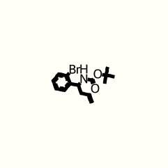 C=CCC(NC(=O)OC(C)(C)C)c1ccccc1Br